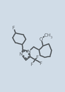 COC1CCCCCC1Cn1c(C(F)(F)F)cnc1C1CCC(F)CC1